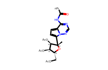 CCCC(=O)Nc1ncnn2c([C@]3(C)O[C@H](COC(C)=O)[C@@H](OC(C)=O)[C@H]3OC(C)=O)ccc12